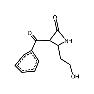 O=C1NC(CCO)C1C(=O)c1ccccc1